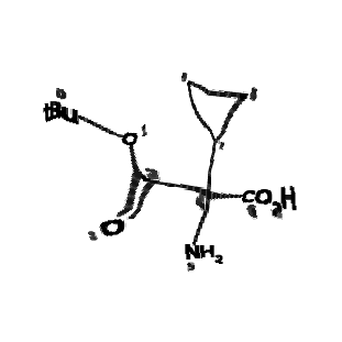 CC(C)(C)OC(=O)C(N)(C(=O)O)C1CC1